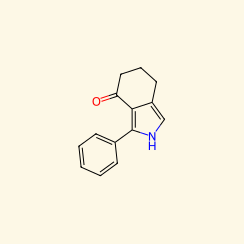 O=C1CCCc2c[nH]c(-c3ccccc3)c21